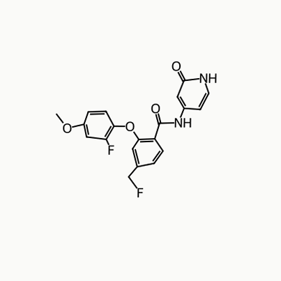 COc1ccc(Oc2cc(CF)ccc2C(=O)Nc2cc[nH]c(=O)c2)c(F)c1